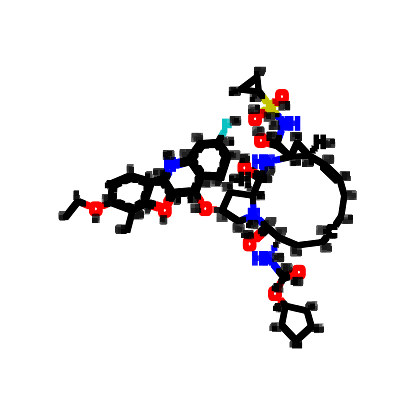 CCOc1ccc2c(oc3c(O[C@@H]4C[C@H]5C(=O)N[C@]6(C(=O)NS(=O)(=O)C7CC7)C[C@H]6/C=C\CCCCC[C@H](NC(=O)OC6CCCC6)C(=O)N5C4)c4ccc(F)cc4nc32)c1C